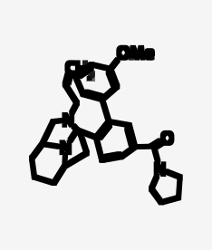 C=CCN1CCC2CCCC(C1)N2Cc1ccc(C(=O)N2CCCC2)cc1-c1cccc(OC)c1